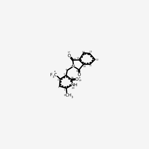 Cc1cc(C(F)(F)F)c(CN2C(=O)c3ccccc3C2=O)c(=O)[nH]1